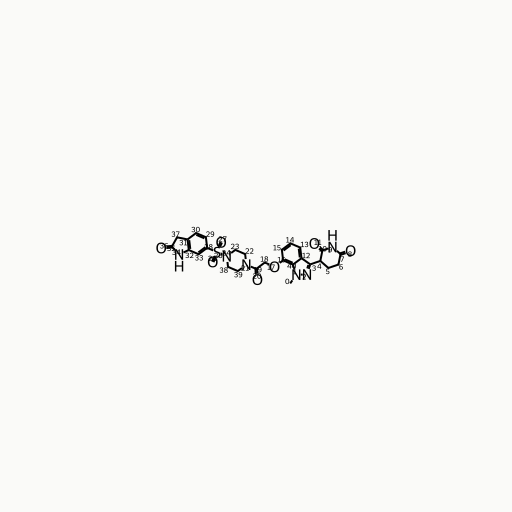 Cn1nc(C2CCC(=O)NC2=O)c2cccc(OCC(=O)N3CCN(S(=O)(=O)c4ccc5c(c4)NC(=O)C5)CC3)c21